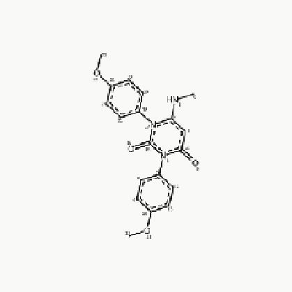 CNc1cc(=O)n(-c2ccc(OC)cc2)c(=O)n1-c1ccc(OC)cc1